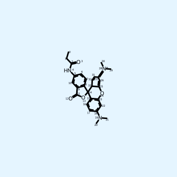 CCC(=O)Nc1ccc2c(c1)C(=O)OC21c2ccc(N(C)C)cc2OC2=CC(=[N+](C)C)C=CC21